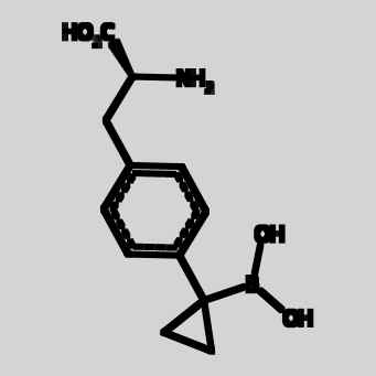 N[C@@H](Cc1ccc(C2(B(O)O)CC2)cc1)C(=O)O